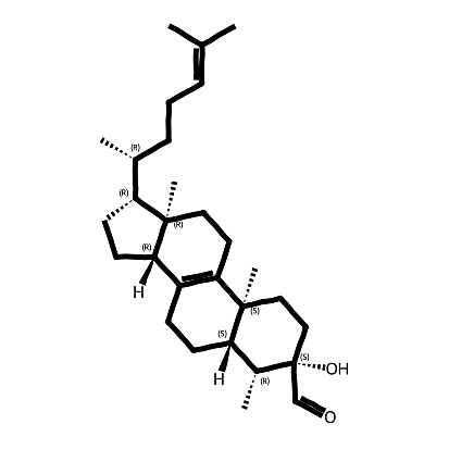 CC(C)=CCC[C@@H](C)[C@H]1CC[C@H]2C3=C(CC[C@]12C)[C@@]1(C)CC[C@@](O)(C=O)[C@H](C)[C@@H]1CC3